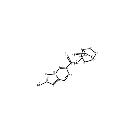 N#Cc1cc2cnc(C(=O)N[C@H]3CN4CCC3CC4)cn2c1